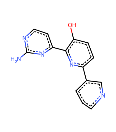 Nc1nccc(-c2nc(-c3cccnc3)ccc2O)n1